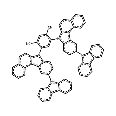 N#Cc1cc(C#N)c(-n2c3ccc(-n4c5ccccc5c5ccccc54)cc3c3c4ccccc4ccc32)cc1-n1c2ccc(-n3c4ccccc4c4ccccc43)cc2c2c3ccccc3ccc21